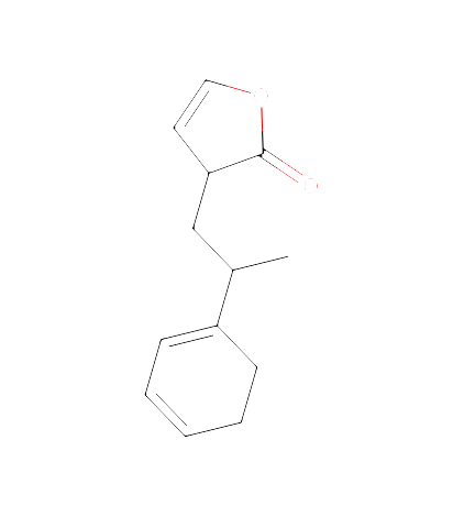 CC(CC1C=COC1=O)C1=CC=CCC1